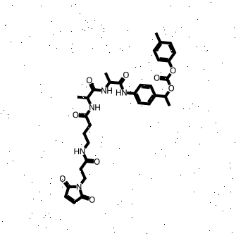 Cc1ccc(OC(=O)OC(C)c2ccc(NC(=O)C(C)NC(=O)C(C)NC(=O)CCCNC(=O)CCN3C(=O)C=CC3=O)cc2)cc1